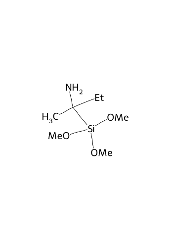 CCC(C)(N)[Si](OC)(OC)OC